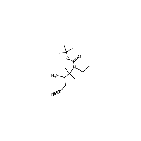 CCN(C(=O)OC(C)(C)C)C(C)(C)C(N)CC#N